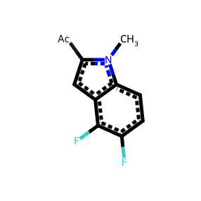 CC(=O)c1cc2c(F)c(F)ccc2n1C